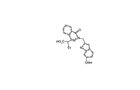 CCC(C(=O)O)c1nn(Cc2nc3cc(OC)ccc3s2)c(=O)c2ccccc12